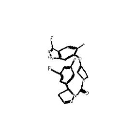 O=C(N1CC(Oc2cc3[nH]nc(F)c3cc2F)C1)N1N=CCC1c1cc(F)cc(F)c1